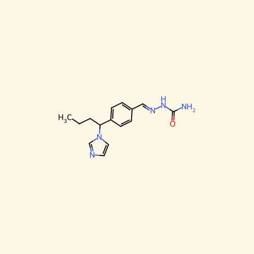 CCCC(c1ccc(C=NNC(N)=O)cc1)n1ccnc1